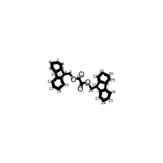 O=C(OCC1c2ccccc2-c2ccccc21)C(=O)OCC1c2ccccc2-c2ccccc21